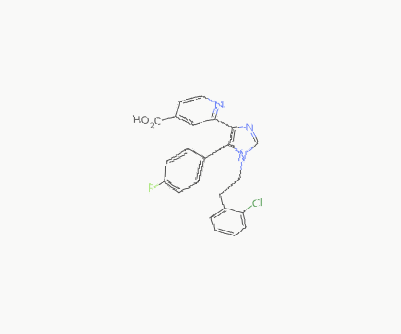 O=C(O)c1ccnc(-c2ncn(CCc3ccccc3Cl)c2-c2ccc(F)cc2)c1